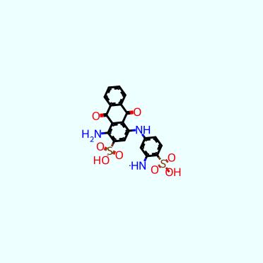 [NH]c1cc(Nc2cc(S(=O)(=O)O)c(N)c3c2C(=O)c2ccccc2C3=O)ccc1S(=O)(=O)O